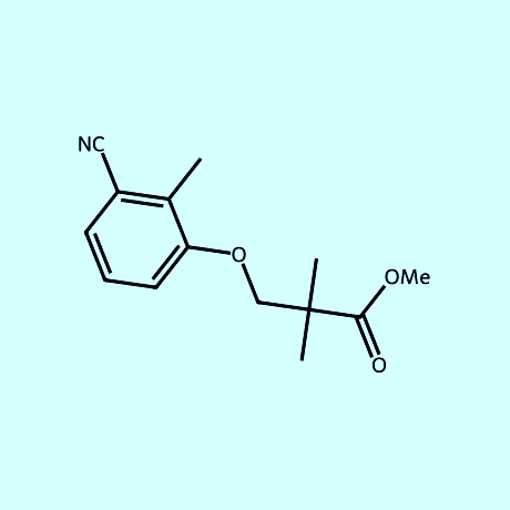 COC(=O)C(C)(C)COc1cccc(C#N)c1C